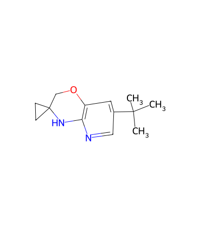 CC(C)(C)c1cnc2c(c1)OCC1(CC1)N2